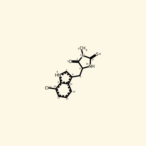 CN1C(=O)C(Cc2c[nH]c3c(Cl)cccc23)NC1=S